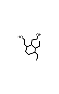 CCC1CCC(CCO)C(CCO)C1CC